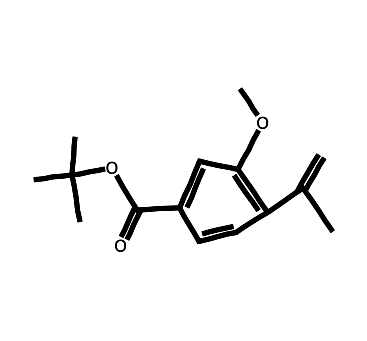 C=C(C)c1ccc(C(=O)OC(C)(C)C)cc1OC